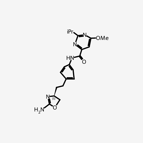 COc1cc(C(=O)Nc2ccc(CC[C@H]3COC(N)=N3)cc2)nc(C(C)C)n1